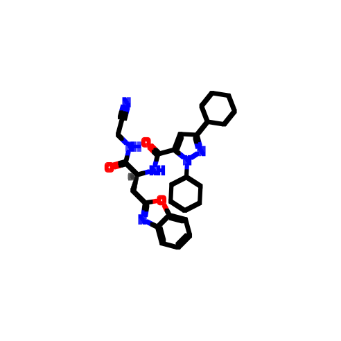 N#CCNC(=O)[C@H](Cc1nc2ccccc2o1)NC(=O)c1cc(C2CCCCC2)nn1C1CCCCC1